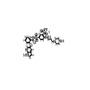 O=C(NS(=O)(=O)c1ccc(NCCCN2CCNCC2)c(S(=O)(=O)C(F)(F)F)c1)c1ccccc1Oc1cnc2[nH]ccc2c1